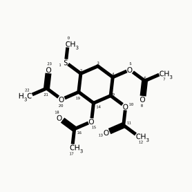 CSC1CC(OC(C)=O)C(OC(C)=O)C(OC(C)=O)C1OC(C)=O